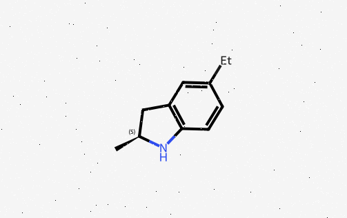 CCc1ccc2c(c1)C[C@H](C)N2